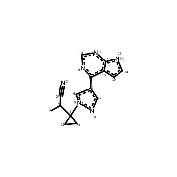 CC(C#N)C1(n2cc(-c3ncnc4[nH]ccc34)cn2)CC1